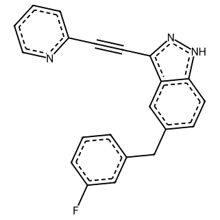 Fc1cccc(Cc2ccc3[nH]nc(C#Cc4ccccn4)c3c2)c1